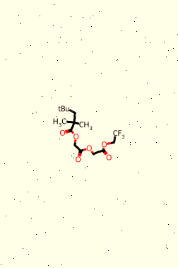 CC(C)(C)CC(C)(C)C(=O)OCC(=O)OCC(=O)OCC(F)(F)F